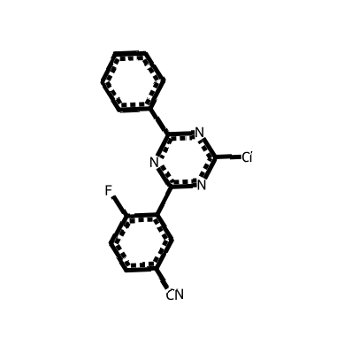 N#Cc1ccc(F)c(-c2nc(Cl)nc(-c3ccccc3)n2)c1